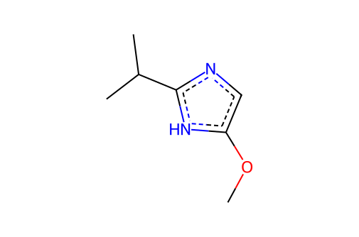 COc1cnc(C(C)C)[nH]1